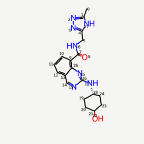 Cc1nnc(CNC(=O)c2cccc3cnc(N[C@H]4CC[C@H](O)CC4)nc23)[nH]1